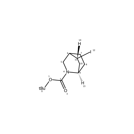 CC(C)(C)OC(=O)N1CC2CC[C@@H]1C[C@H]2I